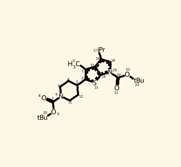 Cc1c(C2CCN(C(=O)OC(C)(C)C)CC2)sc2c1c(C(C)C)cn2C(=O)OC(C)(C)C